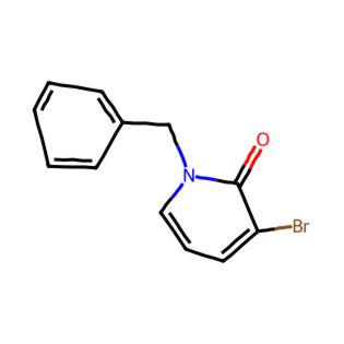 O=c1c(Br)cccn1Cc1ccccc1